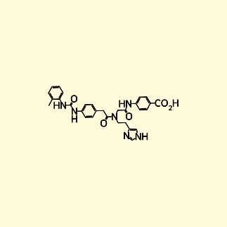 Cc1ccccc1NC(=O)Nc1ccc(CC(=O)N(CCc2c[nH]cn2)CC(=O)Nc2ccc(C(=O)O)cc2)cc1